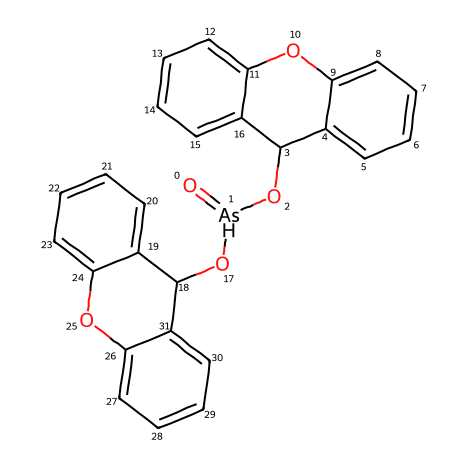 O=[AsH](OC1c2ccccc2Oc2ccccc21)OC1c2ccccc2Oc2ccccc21